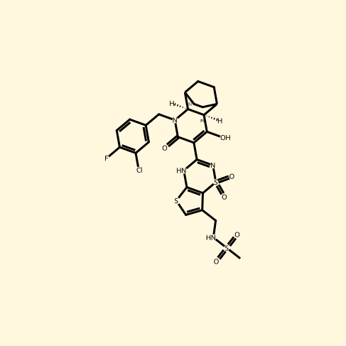 CS(=O)(=O)NCc1csc2c1S(=O)(=O)N=C(C1=C(O)[C@@H]3C4CCC(CC4)[C@@H]3N(Cc3ccc(F)c(Cl)c3)C1=O)N2